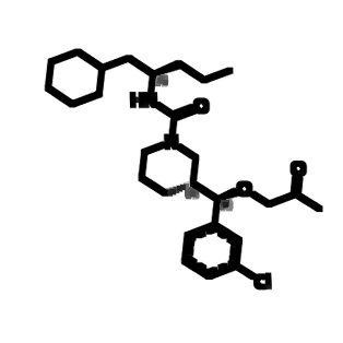 CCC[C@H](CC1CCCCC1)NC(=O)N1CCC[C@@H]([C@@H](OCC(C)=O)c2cccc(Cl)c2)C1